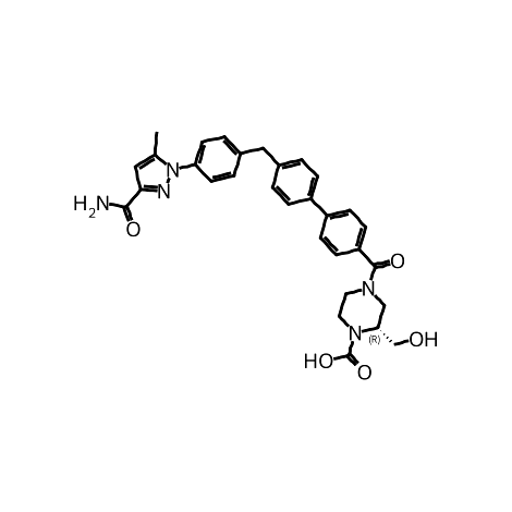 Cc1cc(C(N)=O)nn1-c1ccc(Cc2ccc(-c3ccc(C(=O)N4CCN(C(=O)O)[C@@H](CO)C4)cc3)cc2)cc1